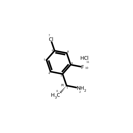 C[C@@H](N)c1ccc(Cl)cc1F.Cl